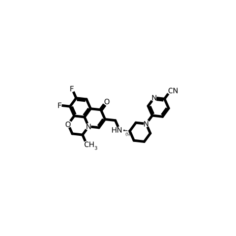 CC1COc2c(F)c(F)cc3c(=O)c(CN[C@H]4CCCN(c5ccc(C#N)nc5)C4)cn1c23